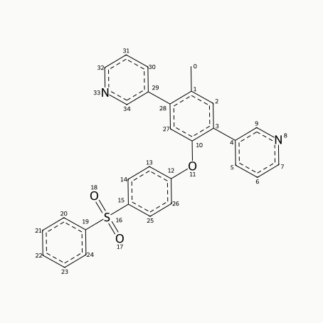 Cc1cc(-c2cccnc2)c(Oc2ccc(S(=O)(=O)c3ccccc3)cc2)cc1-c1cccnc1